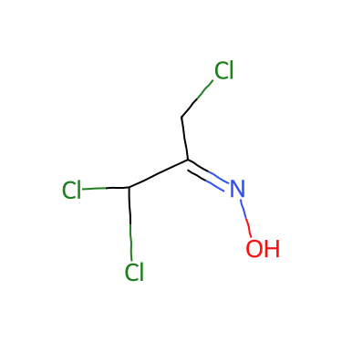 ON=C(CCl)C(Cl)Cl